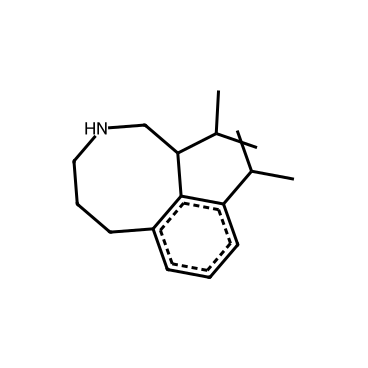 CC(C)c1cccc2c1C(C(C)C)CNCCC2